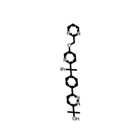 CC(C)C(C)(c1ccc(-c2ccc(C(C)(C)O)nn2)cc1)c1ccc(OCc2ncccn2)cn1